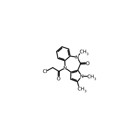 Cc1cc2c(n1C)C(=O)N(C)c1ccccc1N2C(=O)CCl